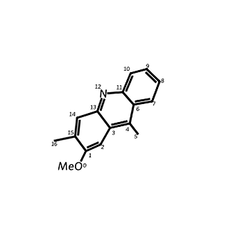 COc1cc2c(C)c3ccccc3nc2cc1C